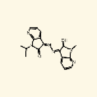 CC(C)N1C(=O)/C(=N\N=C2\c3cccnc3N(C)C2O)c2cccnc21